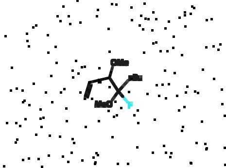 [CH]=CC(OC)C(F)(CCCC)OC